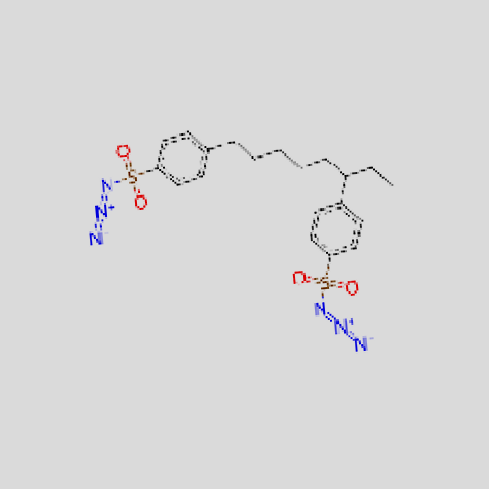 CCC(CCCCCc1ccc(S(=O)(=O)N=[N+]=[N-])cc1)c1ccc(S(=O)(=O)N=[N+]=[N-])cc1